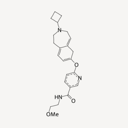 COCCNC(=O)c1ccc(OC2=CC=C3CCN(C4CCC4)CC=C3C2)nc1